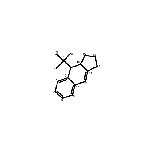 CC(C)(C)C1c2ccccc2C=C2CCCC21